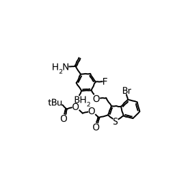 Bc1cc(C(=C)N)cc(F)c1OCc1c(C(=O)OCOC(=O)C(C)(C)C)sc2cccc(Br)c12